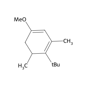 COC1=CC(C)=C(C(C)(C)C)C(C)C1